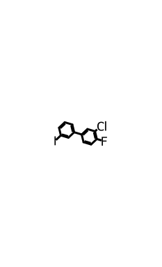 Fc1ccc(-c2cccc(I)c2)cc1Cl